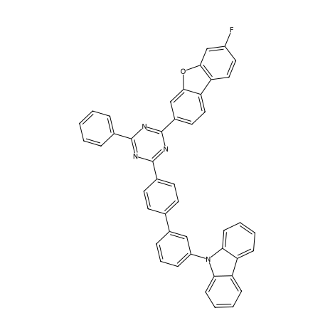 Fc1ccc2c(c1)oc1cc(-c3nc(-c4ccccc4)nc(-c4ccc(-c5cccc(-n6c7ccccc7c7ccccc76)c5)cc4)n3)ccc12